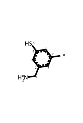 NCc1cc(S)cc(I)c1